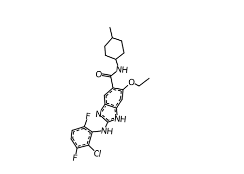 CCOc1cc2[nH]c(Nc3c(F)ccc(F)c3Cl)nc2cc1C(=O)NC1CCC(C)CC1